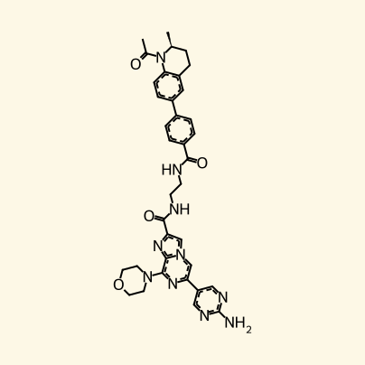 CC(=O)N1c2ccc(-c3ccc(C(=O)NCCNC(=O)c4cn5cc(-c6cnc(N)nc6)nc(N6CCOCC6)c5n4)cc3)cc2CC[C@@H]1C